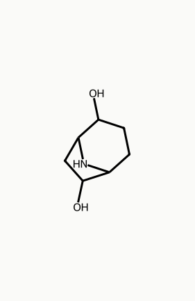 OC1CC2NC1CCC2O